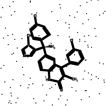 Cc1c(-c2cccc(Cl)c2)c2cc([C@](N)(c3ccc(Cl)cc3)c3cncn3C)ccc2[nH]c1=O